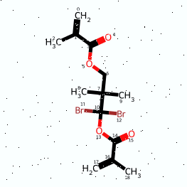 C=C(C)C(=O)OCC(C)(C)C(Br)(Br)OC(=O)C(=C)C